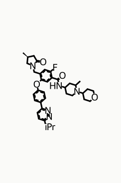 CC(C)c1ccc(-c2ccc(Oc3cc(C(=O)NC4CCN(C5CCOCC5)C(C)C4)c(F)cc3CN3C[C@@H](C)CC3=O)cc2)nn1